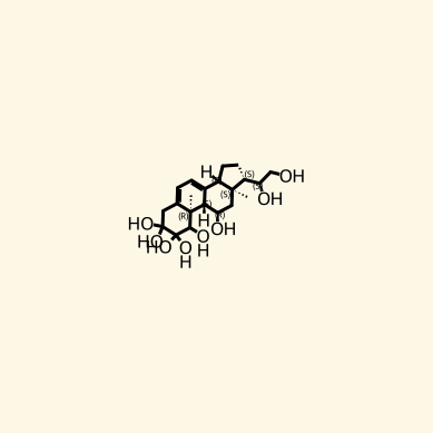 C[C@]12C[C@@H](O)[C@H]3C(=CC=C4CC(O)(O)C(O)(O)C(O)[C@@]43C)[C@@H]1CC[C@@H]2[C@H](O)CO